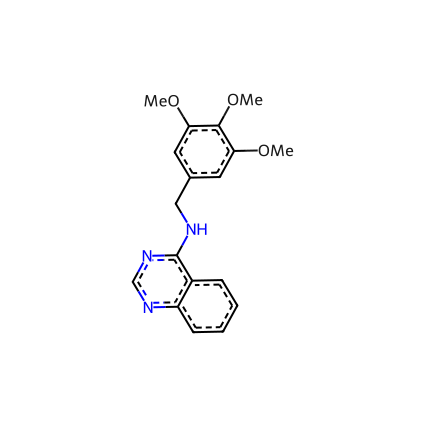 COc1cc(CNc2ncnc3ccccc23)cc(OC)c1OC